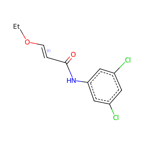 CCO/C=C/C(=O)Nc1cc(Cl)cc(Cl)c1